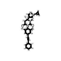 CN1C(=O)N(c2c(F)cc(C#Cc3ccccc3)cc2F)C(=O)C[C@@]1(C)c1cnn(C2CC2)c1